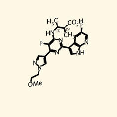 COCCn1cc(-c2nc(-c3c[nH]c4ncc(F)cc34)nc(N[C@@H](C)[C@H](C)C(=O)O)c2F)cn1